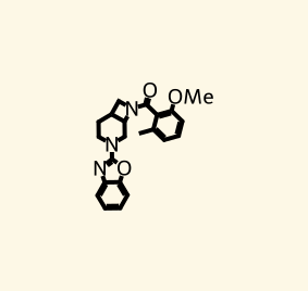 COc1cccc(C)c1C(=O)N1CC2CCN(c3nc4ccccc4o3)CC21